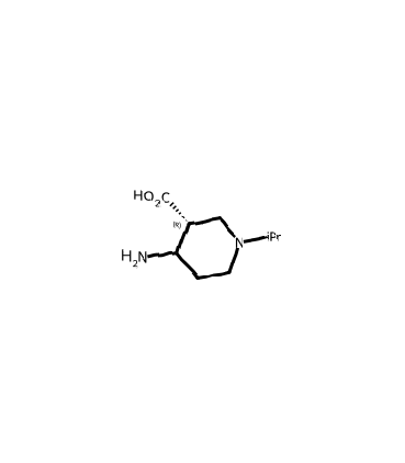 CC(C)N1CCC(N)[C@H](C(=O)O)C1